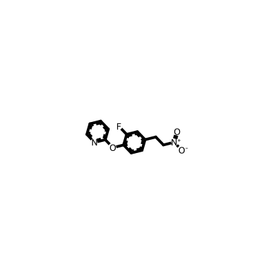 O=[N+]([O-])CCc1ccc(Oc2ccccn2)c(F)c1